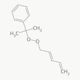 C=CC=CCOOC(C)(C)c1ccccc1